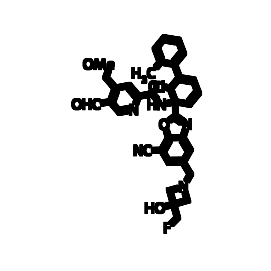 COCc1cc(C(=O)NC2(c3nc4cc(CN5CC(O)(CF)C5)cc(C#N)c4o3)C=CC=C(c3ccccc3C)C2Cl)ncc1C=O